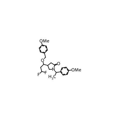 COc1ccc(COC(CC(F)F)C2CC(=O)N(C(C)c3ccc(OC)cc3)C2)cc1